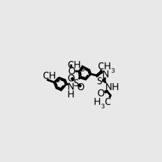 CCC(=O)Nc1nc(C)c(-c2ccc(OC)c(S(=O)(=O)Nc3ccc(CC)cc3)c2)s1